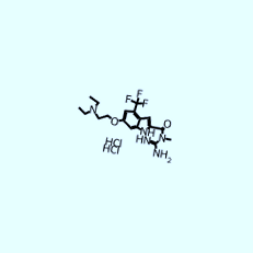 CCN(CC)CCOc1cc(C(F)(F)F)c2cc(C(=O)N(C)C(=N)N)[nH]c2c1.Cl.Cl